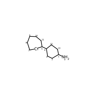 NC1CCC(C2CCCCCC2)CC1